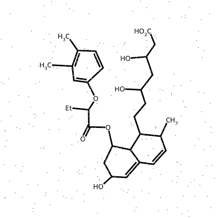 CCC(Oc1ccc(C)c(C)c1)C(=O)OC1CC(O)C=C2C=CC(C)C(CCC(O)CC(O)CC(=O)O)C21